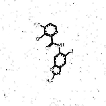 Cc1nc2cc(Cl)c(NC(=O)c3cccc(C(F)(F)F)c3Cl)cc2o1